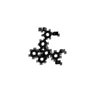 Cc1cc(C)cc(-c2ccc3c(c2)c2cc(-c4cc(C)cc(C)c4)ccc2n3-c2ccccc2-c2cccnn2)c1